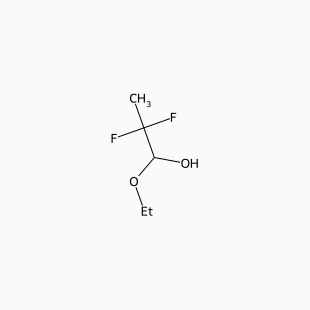 CCOC(O)C(C)(F)F